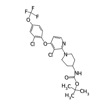 CC(C)(C)OC(=O)NC1CCN(c2nccc(Oc3ccc(OC(F)(F)F)cc3Cl)c2Cl)CC1